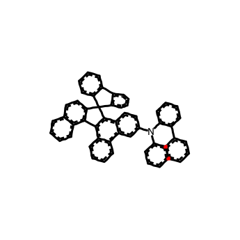 c1ccc(-c2ccccc2N(c2ccccc2)c2ccc3c4c(c5ccccc5c3c2)-c2c(ccc3ccccc23)C42c3ccccc3-c3ccccc32)cc1